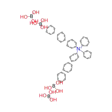 OB(O)O.OB(O)O.OB(O)O.OB(O)O.c1ccc([N+](c2ccccc2)(c2ccccc2)c2ccccc2)cc1.c1ccccc1.c1ccccc1.c1ccccc1.c1ccccc1